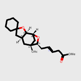 COC(=O)C/C=C/C[C@@H]1O[C@@H]2C[C@@]1(OC(C)=O)C[C@H]1CC3(CCCCC3)O[C@H]12